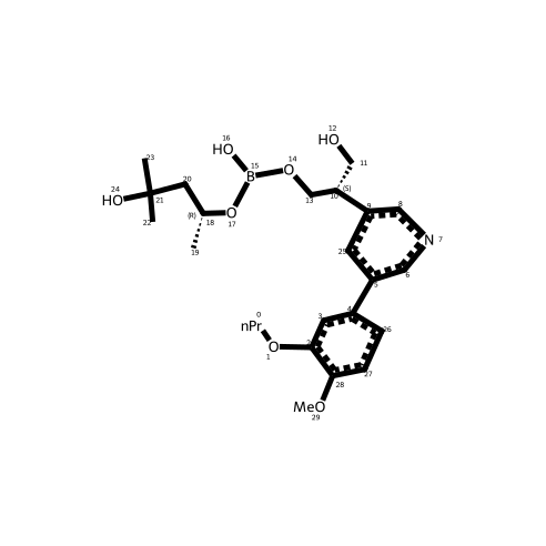 CCCOc1cc(-c2cncc([C@@H](CO)COB(O)O[C@H](C)CC(C)(C)O)c2)ccc1OC